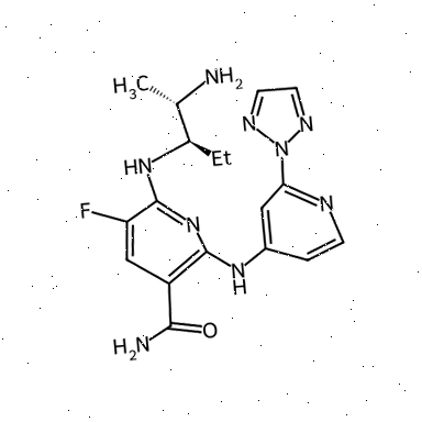 CC[C@@H](Nc1nc(Nc2ccnc(-n3nccn3)c2)c(C(N)=O)cc1F)[C@H](C)N